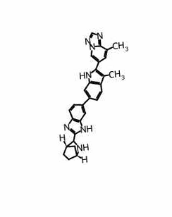 Cc1c(-c2cc(C)c3ncnn3c2)[nH]c2cc(-c3ccc4nc(C5N[C@@H]6CC[C@H]5C6)[nH]c4c3)ccc12